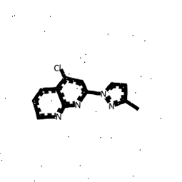 Cc1ccn(-c2cc(Cl)c3cccnc3n2)n1